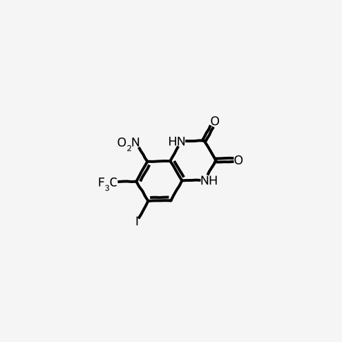 O=c1[nH]c2cc(I)c(C(F)(F)F)c([N+](=O)[O-])c2[nH]c1=O